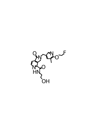 Cc1cc(CN2Cc3c(ccnc3C(=O)NCCO)C2=O)cnc1OCCF